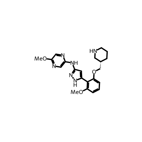 COc1cnc(Nc2cc(-c3c(OC)cccc3OC[C@H]3CCCNC3)[nH]n2)cn1